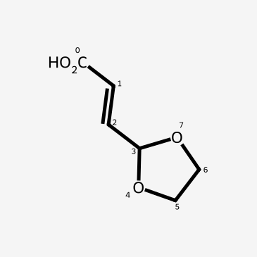 O=C(O)C=CC1OCCO1